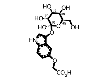 O=C(O)COc1ccc2[nH]cc(O[C@]3(O)O[C@H](CO)[C@H](O)[C@H](O)[C@H]3O)c2c1